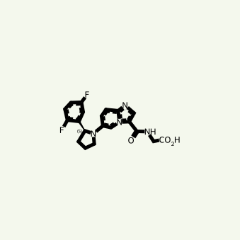 O=C(O)CNC(=O)c1cnc2ccc(N3CCC[C@H]3c3cc(F)ccc3F)cn12